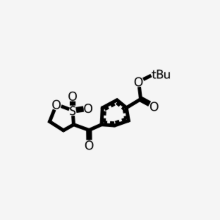 CC(C)(C)OC(=O)c1ccc(C(=O)C2CCOS2(=O)=O)cc1